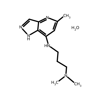 Cc1cc(NCCCN(C)C)c2[nH]ncc2n1.O